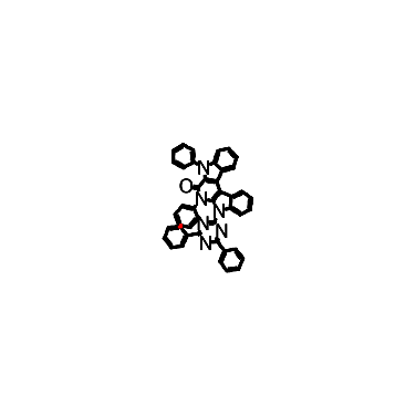 O=c1c2c(c3ccccc3n2-c2ccccc2)c2c3ccccc3n(-c3nc(-c4ccccc4)nc(-c4ccccc4)n3)c2n1-c1ccccc1